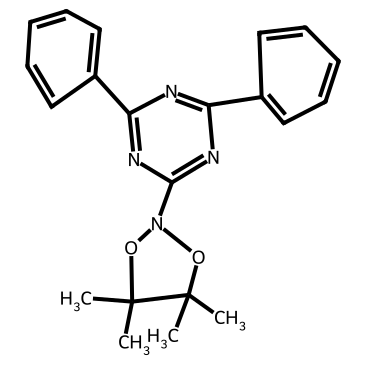 CC1(C)ON(c2nc(-c3ccccc3)nc(-c3ccccc3)n2)OC1(C)C